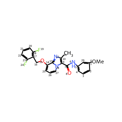 COc1cccc(NC(=O)c2c(C)nc3c(OCc4c(F)cccc4F)cccn23)c1